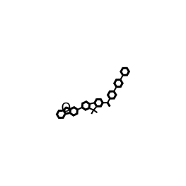 C=C(c1ccc(-c2ccc(-c3ccccc3)cc2)cc1)c1ccc2c(c1)C(C)(C)c1cc(-c3ccc4c(c3)oc3ccccc34)ccc1-2